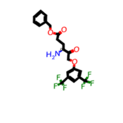 N[C@@H](CCC(=O)OCc1ccccc1)C(=O)COc1cc(C(F)(F)F)cc(C(F)(F)F)c1